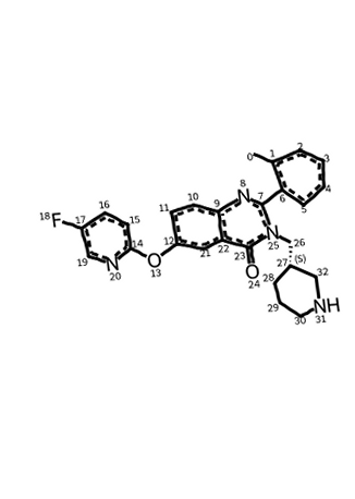 Cc1ccccc1-c1nc2ccc(Oc3ccc(F)cn3)cc2c(=O)n1C[C@H]1CCCNC1